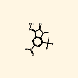 CN1C(=O)/C(=N\O)c2cc([N+](=O)[O-])cc(C(F)(F)F)c21